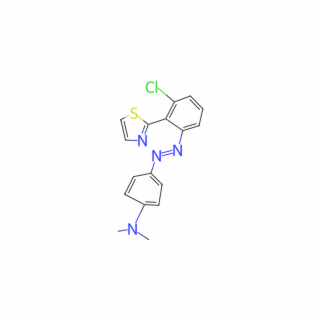 CN(C)c1ccc(N=Nc2cccc(Cl)c2-c2nccs2)cc1